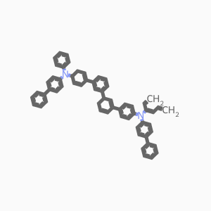 C=C/C=C(\C=C)N(c1ccc(C2=CC(c3cccc(C4=CCC(N(c5ccccc5)c5ccc(-c6ccccc6)cc5)C=C4)c3)CC=C2)cc1)c1ccc(-c2ccccc2)cc1